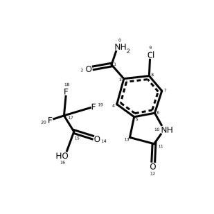 NC(=O)c1cc2c(cc1Cl)NC(=O)C2.O=C(O)C(F)(F)F